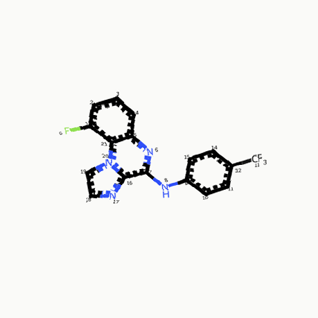 Fc1cccc2nc(Nc3ccc(C(F)(F)F)cc3)c3nccn3c12